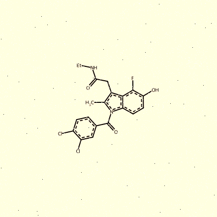 CCNC(=O)Cc1c(C)n(C(=O)c2ccc(Cl)c(Cl)c2)c2ccc(O)c(F)c12